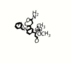 COP(=O)(OC)C(CC=O)c1ccc2c(c1)c(CC(N)=O)c(C)n2Cc1ccccc1